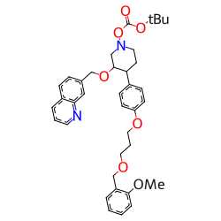 COc1ccccc1COCCCOc1ccc(C2CCN(OC(=O)OC(C)(C)C)CC2OCc2ccc3cccnc3c2)cc1